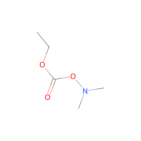 CCOC(=O)ON(C)C